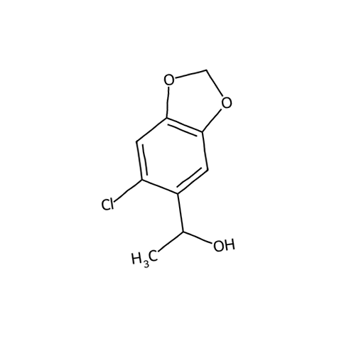 CC(O)c1cc2c(cc1Cl)OCO2